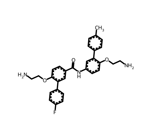 Cc1ccc(-c2cc(NC(=O)c3ccc(OCCN)c(-c4ccc(F)cc4)c3)ccc2OCCN)cc1